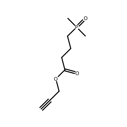 C#CCOC(=O)CCCP(C)(C)=O